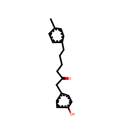 Cc1ccc(CCCCC(=O)Cc2ccc(O)cc2)cc1